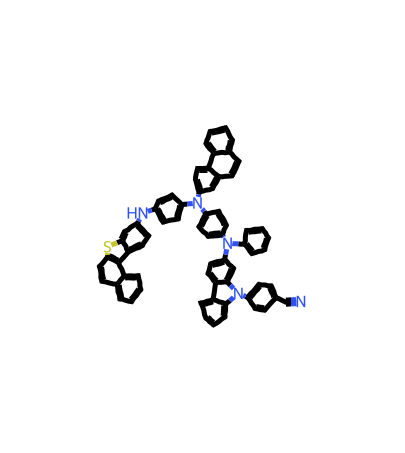 N#Cc1ccc(-n2c3ccccc3c3ccc(N(c4ccccc4)c4ccc(N(c5ccc(Nc6ccc7c(c6)sc6ccc8ccccc8c67)cc5)c5ccc6c(ccc7ccccc76)c5)cc4)cc32)cc1